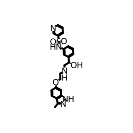 Cc1n[nH]c2cc(OCCNC[C@H](O)c3cccc(NS(=O)(=O)c4cccnc4)c3)ccc12